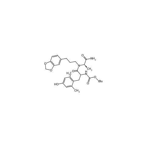 Cc1cc(O)cc(C)c1CC(NC(=O)OC(C)(C)C)C(=O)N(CCCc1ccc2c(c1)OCO2)[C@H](C)C(N)=O